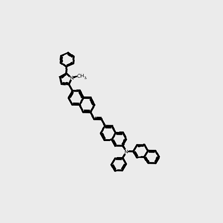 Cn1c(-c2ccccc2)ccc1-c1ccc2cc(/C=C/c3ccc4cc(N(c5ccccc5)c5ccc6ccccc6c5)ccc4c3)ccc2c1